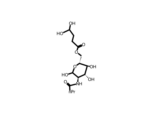 CCCC(=O)N[C@H]1C(O)O[C@H](COC(=O)CCC(O)O)[C@@H](O)[C@@H]1O